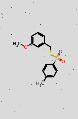 COc1cccc(CSS(=O)(=O)c2ccc(C)cc2)c1